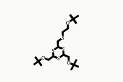 CC(C)(C)OCCSCC1SC(COC(C)(C)C)SC(COC(C)(C)C)S1